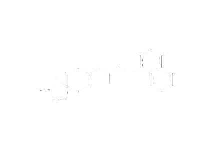 O=C1NCC2(CCN(CC(O)COc3cccc4ccccc34)CC2)O1